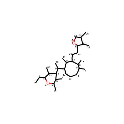 CCC1OC(C)C(C)C(C(C)C2CCCC(C)C(C)C(CCC3OCC(C)C3C)C2C)C1C